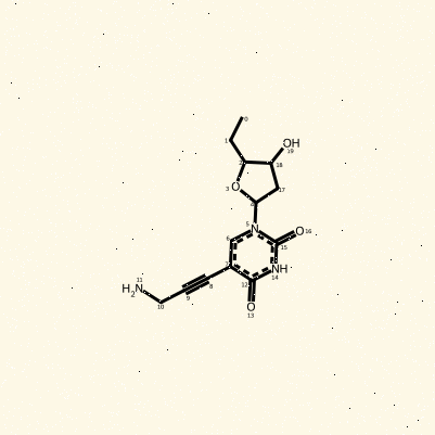 CCC1OC(n2cc(C#CCN)c(=O)[nH]c2=O)CC1O